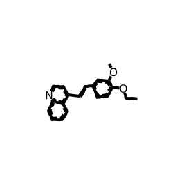 CCOc1ccc(C=Cc2ccnc3ccccc23)cc1OC